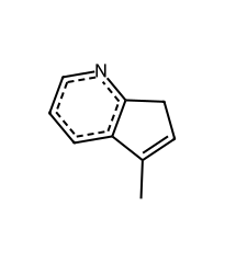 CC1=CCc2ncccc21